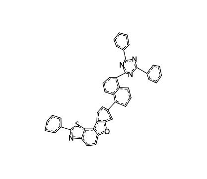 c1ccc(-c2nc(-c3ccccc3)nc(-c3cccc4c(-c5ccc6c(c5)oc5ccc7nc(-c8ccccc8)sc7c56)cccc34)n2)cc1